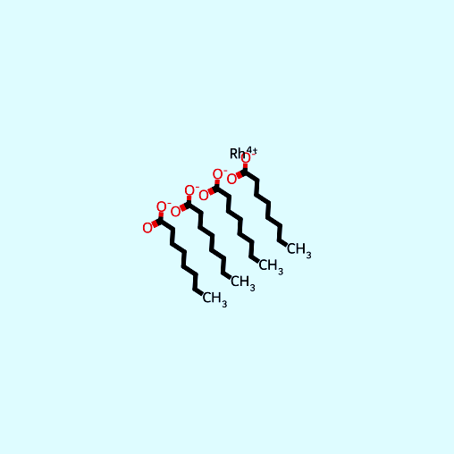 CCCCCCCC(=O)[O-].CCCCCCCC(=O)[O-].CCCCCCCC(=O)[O-].CCCCCCCC(=O)[O-].[Rh+4]